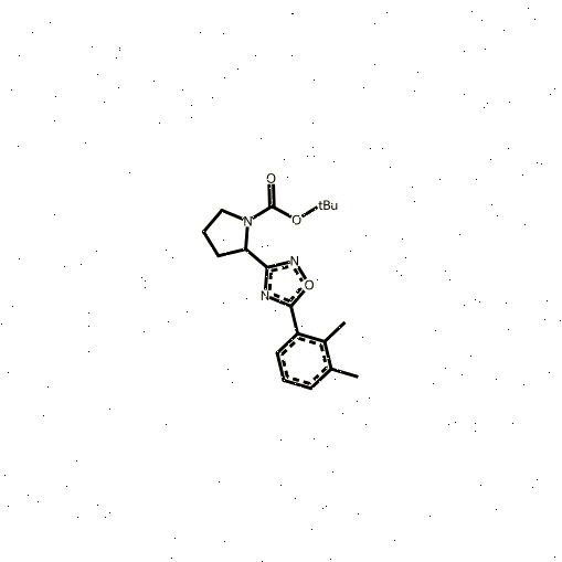 Cc1cccc(-c2nc(C3CCCN3C(=O)OC(C)(C)C)no2)c1C